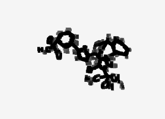 CC(C)(O)c1nn(-c2cccnc2C(F)(F)F)c(Cc2ccc(-c3cccc(S(C)(=O)=O)c3)s2)c1Br